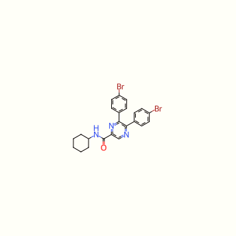 O=C(NC1CCCCC1)c1cnc(-c2ccc(Br)cc2)c(-c2ccc(Br)cc2)n1